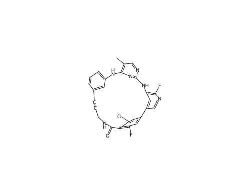 Cc1cnc2nc1Nc1cccc(c1)CCCNC(=O)c1c(F)cc(cc1Cl)-c1cnc(F)c(c1)N2